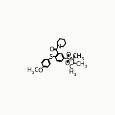 COc1ccc(Sc2ccc(S(=O)(=O)N(C)C(C)C)cc2C(=O)N2CCCCC2)cc1